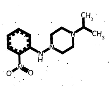 CC(C)N1CCN(Nc2ccccc2[N+](=O)[O-])CC1